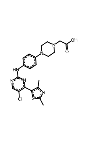 Cc1nc(C)c(-c2nc(Nc3ccc(N4CCN(CC(=O)O)CC4)cc3)ncc2Cl)s1